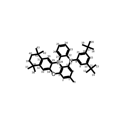 Cc1cc2c3c(c1)N(c1cc(C(C)(C)C)cc(C(C)(C)C)c1)c1ccccc1B3c1cc3c(cc1O2)C(C)(C)CCC3(C)C